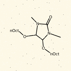 CCCCCCCCOC1C(OCCCCCCCC)N(C)C(=O)N1C